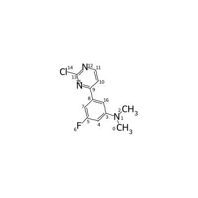 CN(C)c1cc(F)cc(-c2ccnc(Cl)n2)c1